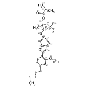 CCCCCc1ccc(-c2cc3ccc(SCC(C)(COC(=O)C(C)C)CC(F)(F)F)cc3o2)c(OC)c1